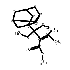 COC(=O)C(=C(C)C)C(CO)(CO)C12CC3CC(CC(C3)C1)C2